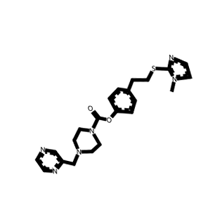 Cn1ccnc1SCCc1ccc(OC(=O)N2CCN(Cc3cnccn3)CC2)cc1